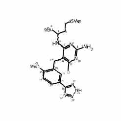 CCCCC(CCSC)Nc1nc(N)nc(C)c1Cc1cc(-c2nn[nH]n2)ccc1OC